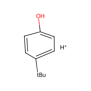 CC(C)(C)c1ccc(O)cc1.[H+]